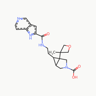 CC1(C23CN(C(=O)O)CC2C3CCNC(=O)c2cc3cnccc3[nH]2)COC1